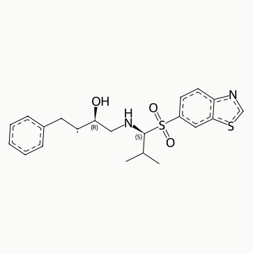 CC(C)[C@@H](NC[C@H](O)[CH]Cc1ccccc1)S(=O)(=O)c1ccc2ncsc2c1